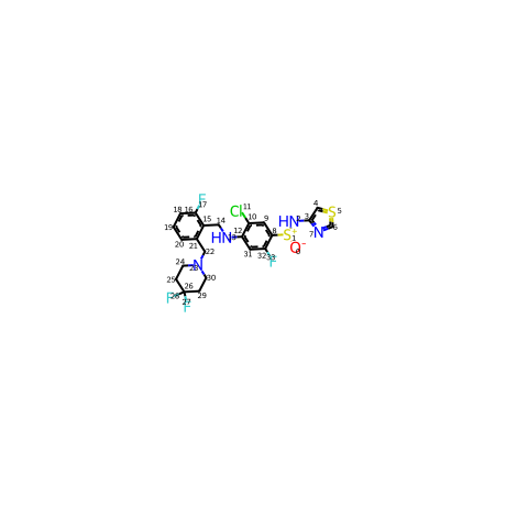 [O-][S+](Nc1cscn1)c1cc(Cl)c(NCc2c(F)cccc2CN2CCC(F)(F)CC2)cc1F